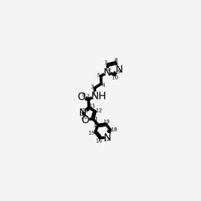 O=C(NCCCn1ccnc1)c1cc(-c2ccncc2)on1